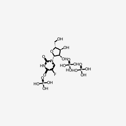 O=P(O)(O)O.O=P(O)(O)O.O=P(O)(O)O.O=c1[nH]c(=O)n([C@@H]2O[C@H](CO)[C@@H](O)[C@H]2O)cc1F